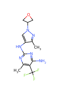 Cc1nn(C2COC2)cc1Nc1nc(C)c(C(F)(F)F)c(N)n1